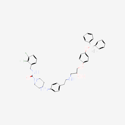 CC(C)(C)[Si](Oc1ccc(OCC(O)CNCCc2ccc(NC3CCN(C(=O)NCc4cccc(Cl)c4Cl)CC3)cc2)cc1)(c1ccccc1)c1ccccc1